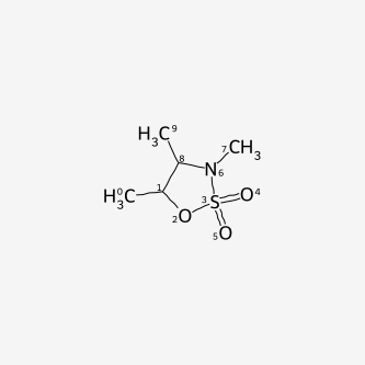 CC1OS(=O)(=O)N(C)C1C